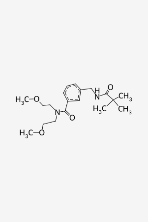 COCCN(CCOC)C(=O)c1cccc(CNC(=O)C(C)(C)C)c1